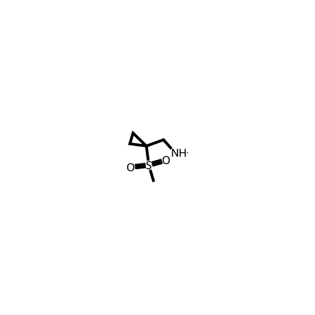 CS(=O)(=O)C1(C[NH])CC1